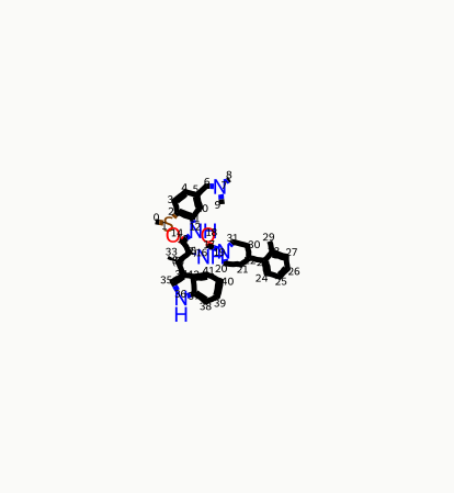 CSc1ccc(CN(C)C)cc1NC(=O)[C@H](NC(=O)N1CCC(c2ccccc2C)CC1)[C@H](C)c1c[nH]c2ccccc12